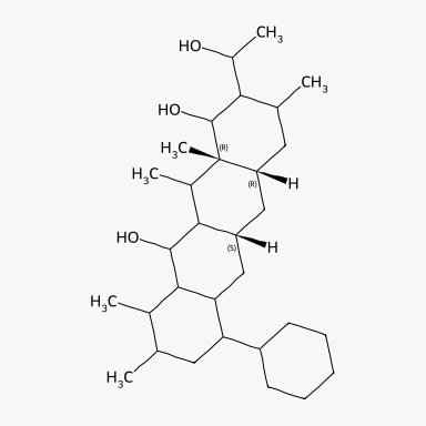 CC(O)C1C(C)C[C@@H]2C[C@@H]3CC4C(C5CCCCC5)CC(C)C(C)C4C(O)C3C(C)[C@]2(C)C1O